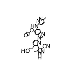 Cc1ccc(Nc2cc3ncn(-c4ccc(CCO)c(-c5c(C#N)n[nH]c5C)n4)c3cc2OC2COC2)nn1